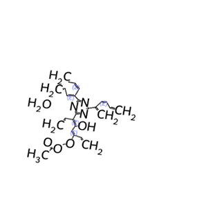 C=C/C=C\C(=C)c1nc(/C(C=C)=C(O)/C=C(\C=C)OCOC(C)=O)nc(C(/C=C\C=C)=C/C=C)n1.O